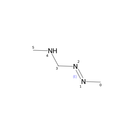 C/N=N/CNC